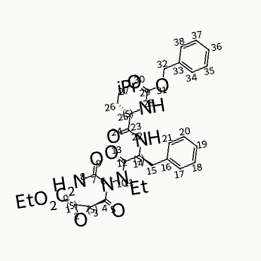 CCOC(=O)[C@H]1O[C@@H]1C(=O)N(C(N)=O)N(CC)C(=O)[C@H](Cc1ccccc1)NC(=O)[C@H](CC(C)C)NC(=O)OCc1ccccc1